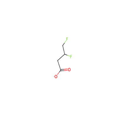 [O]C(=O)CC(F)CF